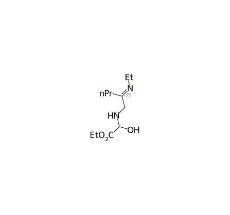 CCC/C(CNC(O)C(=O)OCC)=N\CC